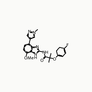 COc1ccc(-c2cnn(C)c2)c2nc(NC(=O)C(C)(C)OC3=CC=C(F)CC3)[nH]c12